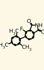 Cc1cc(C)c(-c2ccc3c(c2F)C(=O)NC3=O)c(C)c1